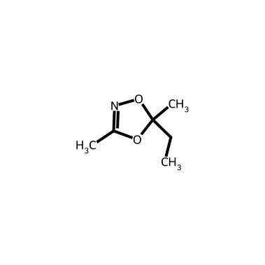 CCC1(C)ON=C(C)O1